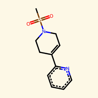 CS(=O)(=O)N1CC=C(c2ccccn2)CC1